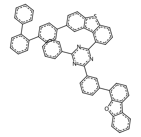 c1ccc(-c2nc(-c3cccc(-c4cccc5c4oc4ccccc45)c3)nc(-c3cccc4sc5ccc(-c6ccc(-c7ccccc7-c7ccccc7)cc6)cc5c34)n2)cc1